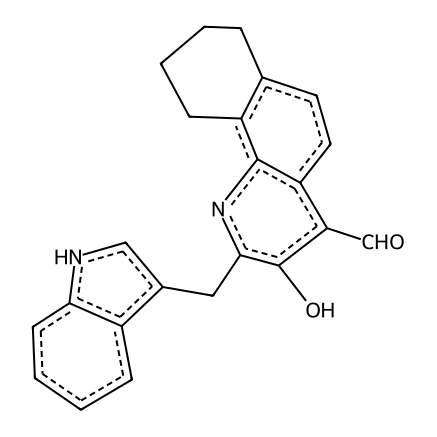 O=Cc1c(O)c(Cc2c[nH]c3ccccc23)nc2c3c(ccc12)CCCC3